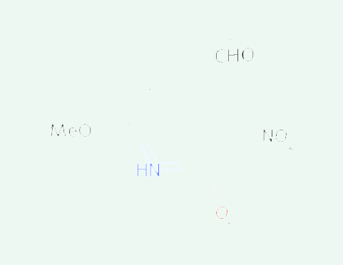 COc1cc(C=O)c([N+](=O)[O-])c(=O)[nH]1